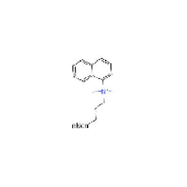 CCCCCCCCCCCC[N+](C)(C)c1cccc2ccccc12